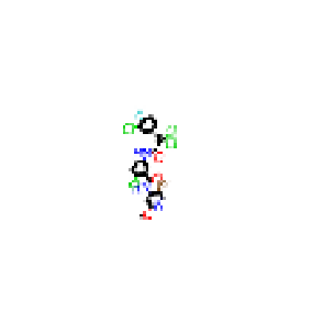 COc1cc(NC(=O)c2cc(NC(=O)[C@H]3[C@H](c4ccc(F)c(Cl)c4)C3(Cl)Cl)ccc2Cl)c(Br)cn1